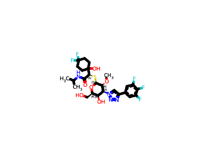 CO[C@@H]1[C@@H](n2cc(-c3cc(F)c(F)c(F)c3)nn2)[C@@H](O)[C@@H](CO)O[C@H]1S[C@H](C(=O)NC(C)C)C1(O)CCC(F)(F)CC1